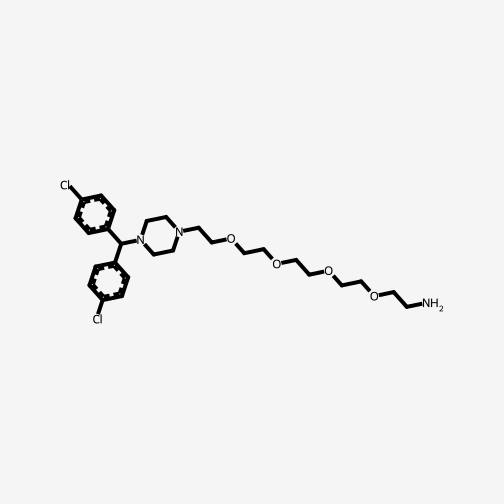 NCCOCCOCCOCCOCCN1CCN(C(c2ccc(Cl)cc2)c2ccc(Cl)cc2)CC1